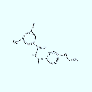 CC(NC(=O)c1cc(F)cc(C(F)(F)F)c1)c1ccc(OCC(F)(F)F)cn1